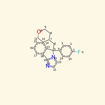 Fc1ccc(C2(CC3CCOCC3)c3ccccc3-c3nccn32)cc1